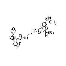 Cc1ncsc1-c1ccc([C@H](CC(=O)NCCCCCCNC(=O)COc2c(-c3csc(N4CCOCC4)n3)ccc(F)c2F)OC(=O)NC(C)(C)C)cc1